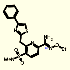 CCO/N=C(\N)c1ccc(S(=O)(=O)NC)c(Cc2nc(-c3ccccc3)cs2)n1